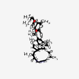 COC1C(OC(C)=O)CC(=O)OC(C)C/C=C\C=C\C(=O)C(C)CC(CC=O)C1O[C@@H]1O[C@H](C)[C@@H](O[C@@H]2O[C@@H](C)[C@H](OC(=O)CC(C)C)[C@](C)(OC)[C@H]2Br)[C@H](N(C)C)[C@H]1O